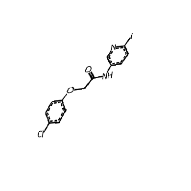 O=C(COc1ccc(Cl)cc1)Nc1ccc(I)nc1